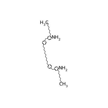 CCCCCCCCc1cc(Cc2ccc(CCCCCCCCCCCc3ccc(Cc4ccc(N)c(CCCCCCCC)c4)cc3)cc2)ccc1N